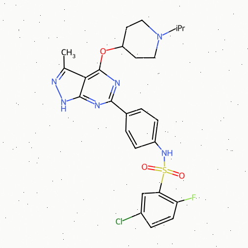 Cc1n[nH]c2nc(-c3ccc(NS(=O)(=O)c4cc(Cl)ccc4F)cc3)nc(OC3CCN(C(C)C)CC3)c12